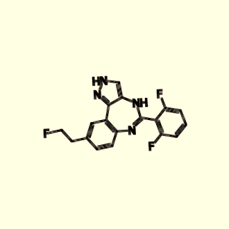 FCCc1ccc2c(c1)-c1n[nH]cc1NC(c1c(F)cccc1F)=N2